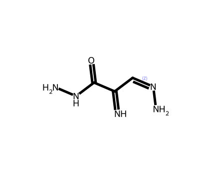 N=C(/C=N\N)C(=O)NN